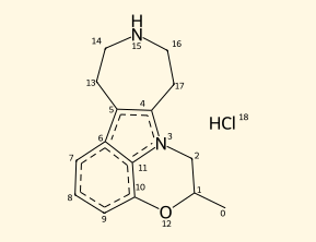 CC1Cn2c3c(c4cccc(c42)O1)CCNCC3.Cl